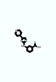 O=C(O)c1cccc(Nc2nc(-c3ccncc3)cs2)c1